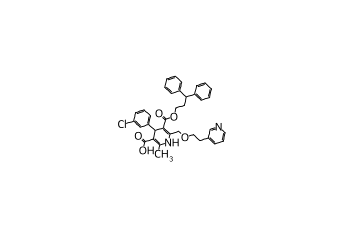 CC1=C(C(=O)O)C(c2cccc(Cl)c2)C(C(=O)OCCC(c2ccccc2)c2ccccc2)=C(COCCc2cccnc2)N1